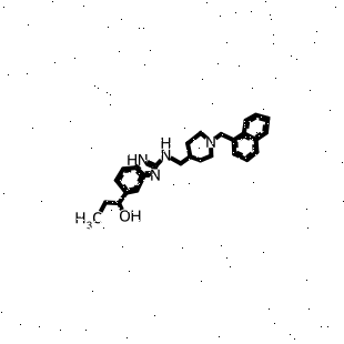 CCC(O)c1ccc2[nH]c(NCC3CCN(Cc4cccc5ccccc45)CC3)nc2c1